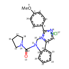 COc1ccc(-c2ncc3n2CN(C(=O)N2CCCC2)c2ccccc2-3)cc1.Cl